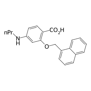 CCCNc1ccc(C(=O)O)c(OCc2cccc3ccccc23)c1